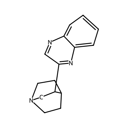 c1ccc2nc(C3CN4CCC3CC4)cnc2c1